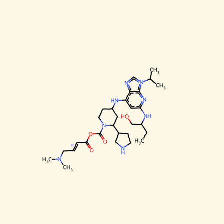 CCC(CO)Nc1cc(NC2CCN(C(=O)OC(=O)/C=C/CN(C)C)C(C3CCNC3)C2)c2ncn(C(C)C)c2n1